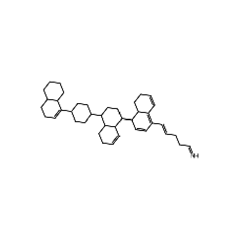 N=CCC/C=C/C1=C2C=CCCC2C(C2CCC(C3CCC(C4=CCCC5CCCCC45)CC3)C3CCC=CC23)C=C1